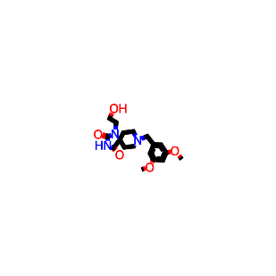 COc1cc(CN2CCC3(CC2)C(=O)NC(=O)N3CCO)cc(OC)c1